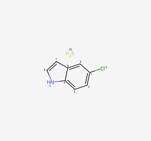 Clc1ccc2[nH]ccc2c1.S